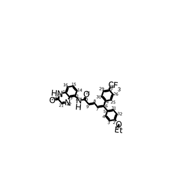 CCOc1ccc(C(=CC=CC(=O)Nc2cccc3[nH]c(=O)cnc23)c2ccc(C(F)(F)F)cc2)cc1